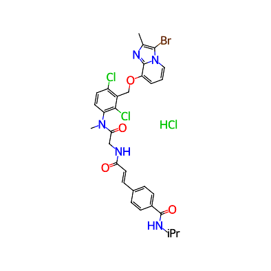 Cc1nc2c(OCc3c(Cl)ccc(N(C)C(=O)CNC(=O)/C=C/c4ccc(C(=O)NC(C)C)cc4)c3Cl)cccn2c1Br.Cl